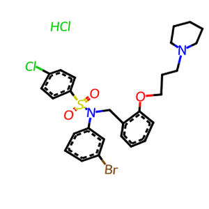 Cl.O=S(=O)(c1ccc(Cl)cc1)N(Cc1ccccc1OCCCN1CCCCC1)c1cccc(Br)c1